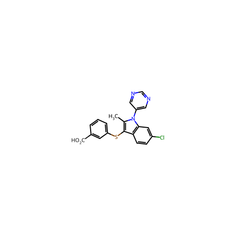 Cc1c(Sc2cccc(C(=O)O)c2)c2ccc(Cl)cc2n1-c1cncnc1